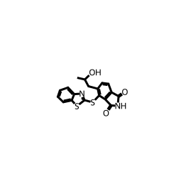 CC(O)Cc1ccc2c(c1Sc1nc3ccccc3s1)C(=O)NC2=O